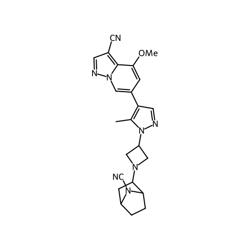 COc1cc(-c2cnn(C3CN(C4CC5CCC4N5C#N)C3)c2C)cn2ncc(C#N)c12